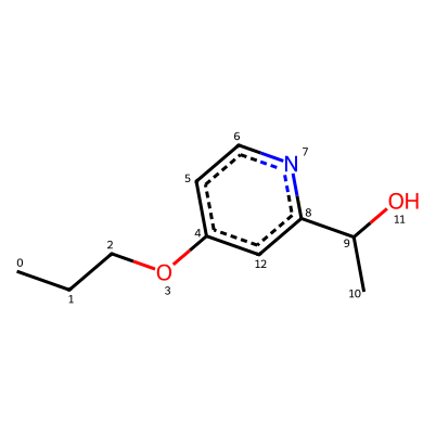 CCCOc1ccnc(C(C)O)c1